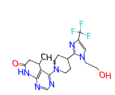 CC1CC(=O)Nc2ncnc(N3CCC(c4nc(C(F)(F)F)cn4CCO)CC3)c21